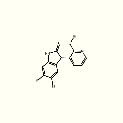 CCOc1ncccc1[C]1C(=O)Nc2cc(F)c(Cl)cc21